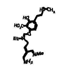 CBCCc1ccc(OCN(CC)CC/C(=C/N)CNC)c(C(=O)O)c1O